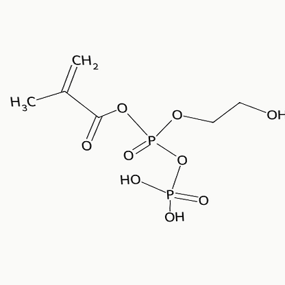 C=C(C)C(=O)OP(=O)(OCCO)OP(=O)(O)O